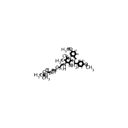 COc1ccc(CN(Cc2ccc(OC)cc2)c2nc(Cl)c(C)c(NCCOCCNC(=O)OC(C)(C)C)c2N)cc1